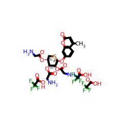 Cc1cc(=O)oc2cc(O[C@@H]3SC[C@@H](OC(=O)CN)[C@H](OC(=O)CN)[C@H]3OC(=O)CN)ccc12.O=C(O)C(F)(F)F.O=C(O)C(F)(F)F.O=C(O)C(F)(F)F